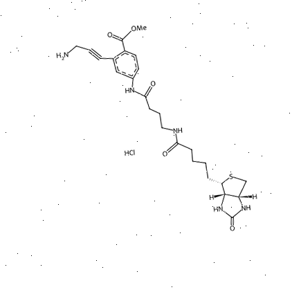 COC(=O)c1ccc(NC(=O)CCCNC(=O)CCCC[C@@H]2SC[C@@H]3NC(=O)N[C@@H]32)cc1C#CCN.Cl